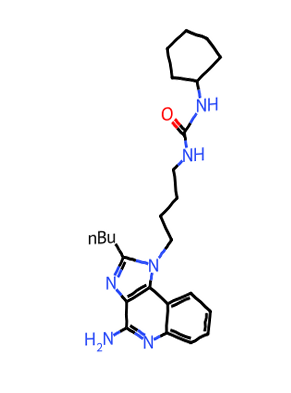 CCCCc1nc2c(N)nc3ccccc3c2n1CCCCNC(=O)NC1CCCCC1